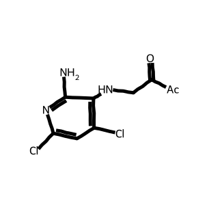 CC(=O)C(=O)CNc1c(Cl)cc(Cl)nc1N